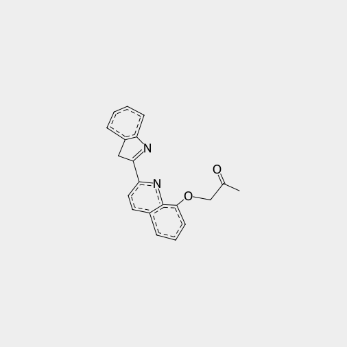 CC(=O)COc1cccc2ccc(C3=Nc4ccccc4C3)nc12